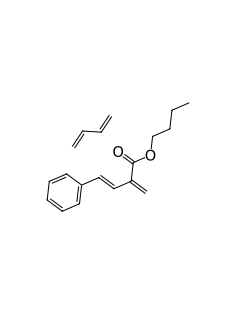 C=C(C=Cc1ccccc1)C(=O)OCCCC.C=CC=C